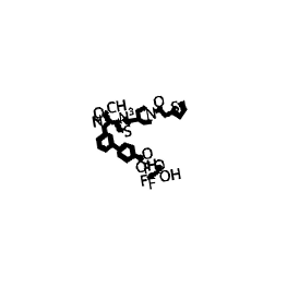 Cc1onc(-c2cccc(-c3ccc(C(=O)O)cc3)c2)c1-c1csc(C2CCN(C(=O)Cc3cccs3)CC2)n1.O=C(O)C(F)(F)F